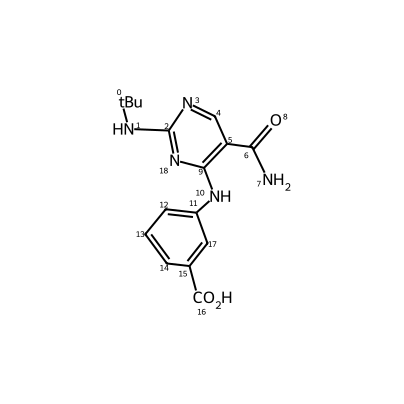 CC(C)(C)Nc1ncc(C(N)=O)c(Nc2cccc(C(=O)O)c2)n1